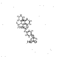 CC(C)CC(NC(=O)Cc1ccc(OC(C)(C)C(=O)O)cc1)c1ccccc1N1CCCCC1